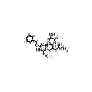 COC(NC(=O)OCc1ccccc1)[PH](=O)CC(CC(C)C)C(=O)N[C@@H](C)C(=O)O